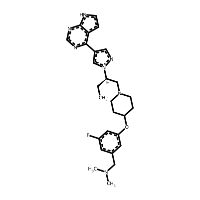 [CH2]C[C@H](CN1CCC(Oc2cc(F)cc(CN(C)C)c2)CC1)n1cc(-c2ncnc3[nH]ccc23)cn1